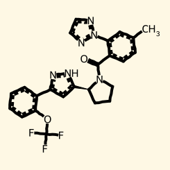 Cc1ccc(C(=O)N2CCC[C@H]2c2cc(-c3ccccc3OC(F)(F)F)n[nH]2)c(-n2nccn2)c1